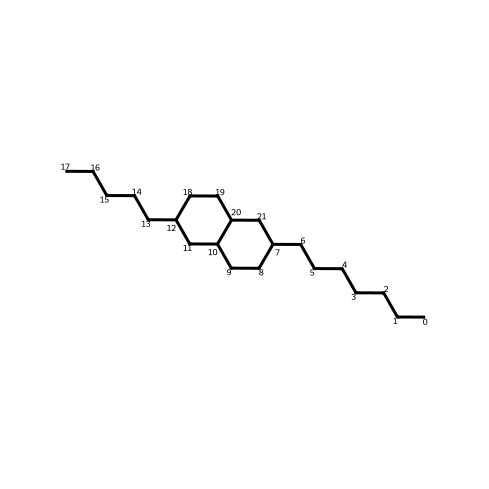 CCCCCCCC1CCC2CC(CCCCC)CCC2C1